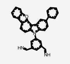 N=Cc1cc(C=N)cc(-n2c3ccc(-c4ccccc4)cc3c3c4oc5ccccc5c4ccc32)c1